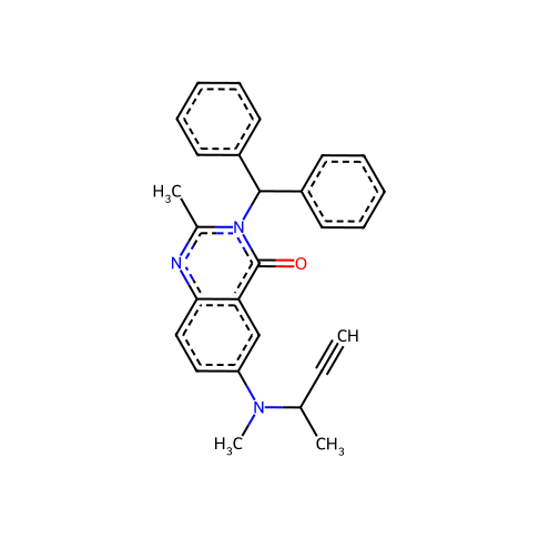 C#CC(C)N(C)c1ccc2nc(C)n(C(c3ccccc3)c3ccccc3)c(=O)c2c1